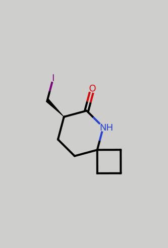 O=C1NC2(CCC2)CC[C@H]1CI